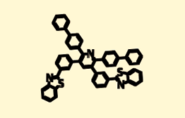 c1ccc(-c2ccc(-c3nc(-c4ccc(-c5ccccc5)cc4)c(-c4cccc(-c5nc6ccccc6s5)c4)cc3-c3cccc(-c4nc5ccccc5s4)c3)cc2)cc1